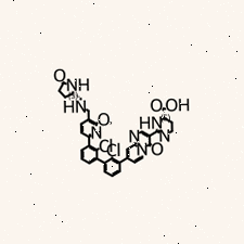 COc1nc(-c2cccc(-c3cccc(-c4ccn5c(=O)c(C6=NCC[C@@H](C(=O)O)N6)cnc5c4)c3Cl)c2Cl)ccc1CNC[C@@H]1CCC(=O)N1